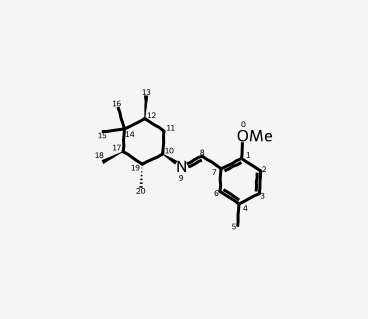 COc1ccc(C)cc1/C=N/[C@@H]1C[C@H](C)C(C)(C)[C@H](C)[C@H]1C